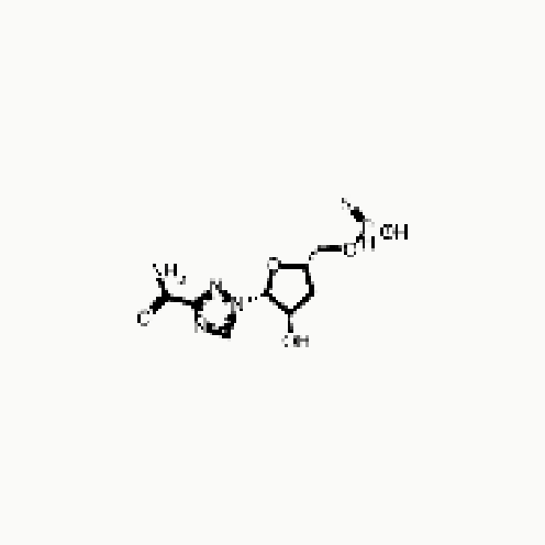 NC(=O)c1ncn([C@@H]2O[C@H](CO[PH](O)=S)C[C@H]2O)n1